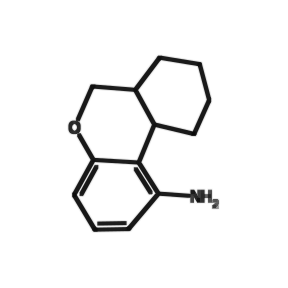 Nc1cccc2c1C1CCCCC1CO2